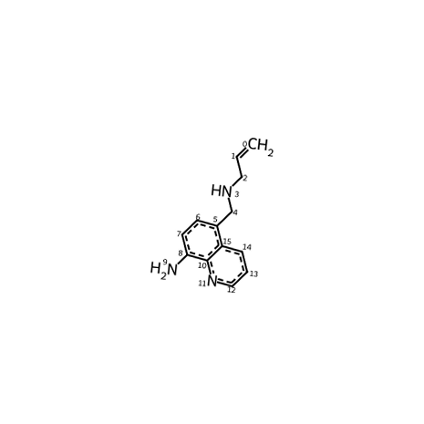 C=CCNCc1ccc(N)c2ncccc12